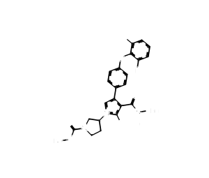 CCOC(=O)c1c(C(=O)NC(C)(C)C)c(-c2ccc(Oc3c(F)cccc3F)cc2)cn1C1CCN(C(=O)OC(C)(C)C)C1